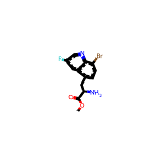 COC(=O)C(N)Cc1ccc(Br)c2ncc(F)cc12